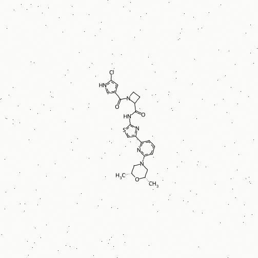 C[C@@H]1CN(c2cccc(-c3csc(NC(=O)C4CCN4C(=O)c4c[nH]c(Cl)c4)n3)n2)C[C@H](C)O1